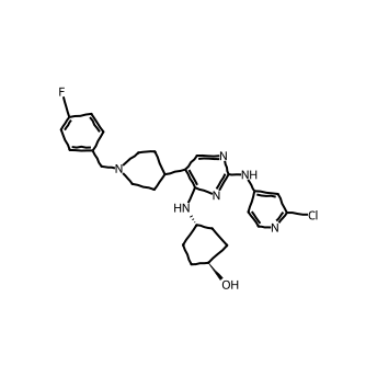 O[C@H]1CC[C@H](Nc2nc(Nc3ccnc(Cl)c3)ncc2C2CCN(Cc3ccc(F)cc3)CC2)CC1